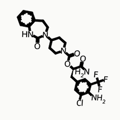 NC(=O)[C@@H](Cc1cc(Cl)c(N)c(C(F)(F)F)c1)OC(=O)N1CCC(N2CCc3ccccc3NC2=O)CC1